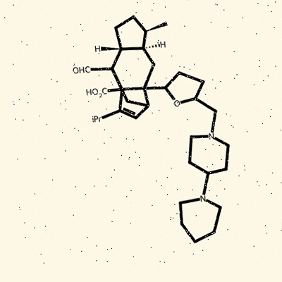 CC(C)C1=CC2CC3(C=O)[C@@H]4CC[C@@H](C)[C@H]4CC2(C2CCC(CN4CCC(N5CCCCC5)CC4)O2)C13C(=O)O